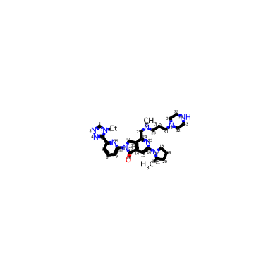 CCn1cnnc1-c1cccc(N2Cc3c(cc(N4CCC[C@H]4C)nc3CN(C)CCCN3CCNCC3)C2=O)n1